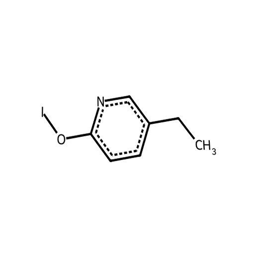 CCc1ccc(OI)nc1